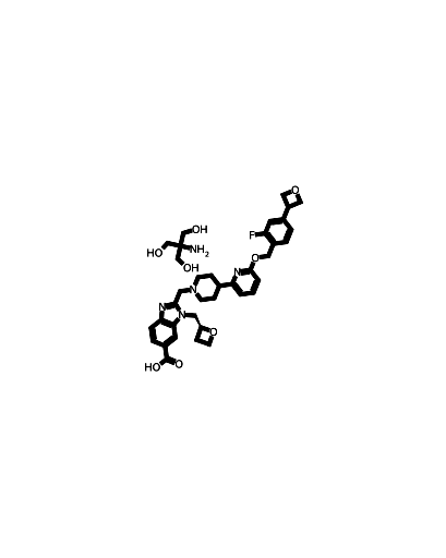 NC(CO)(CO)CO.O=C(O)c1ccc2nc(CN3CCC(c4cccc(OCc5ccc(C6COC6)cc5F)n4)CC3)n(C[C@@H]3CCO3)c2c1